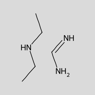 CCNCC.N=CN